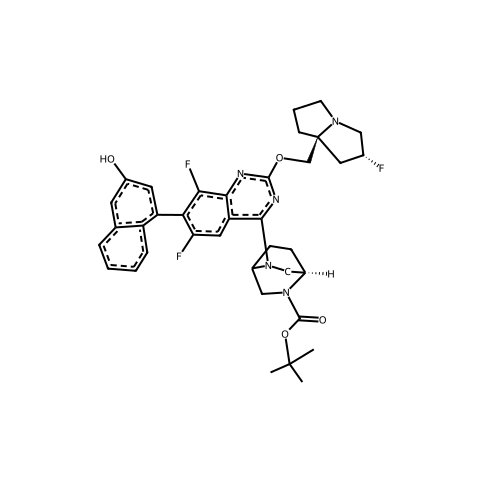 CC(C)(C)OC(=O)N1CC2CC[C@@H]1CN2c1nc(OC[C@@]23CCCN2C[C@H](F)C3)nc2c(F)c(-c3cc(O)cc4ccccc34)c(F)cc12